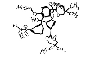 CCN(CC)S(=O)(=O)c1cccc(C(O)(c2cc(C3OCC(C)(C)CO3)ccc2OCOC)c2cc(C3OCC(C)(C)CO3)ccc2OCOC)c1